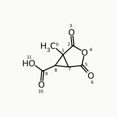 CC12C(=O)OC(=O)C1C2C(=O)O